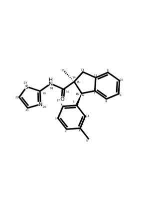 Cc1[c]ccc([C@@H]2c3ccccc3C[C@]2(C)C(=O)Nc2nccs2)c1